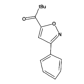 CC(C)(C)C(=O)c1cc(-c2ccccc2)no1